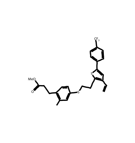 C=Cc1cc(-c2ccc(C(F)(F)F)cc2)sc1CCSc1ccc(CCC(=O)OC)c(C)c1